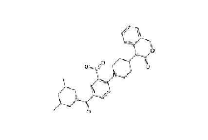 CC1CC(C)CN(C(=O)c2ccc(N3CCC(N4C(=O)OCc5ccccc54)CC3)c([N+](=O)[O-])c2)C1